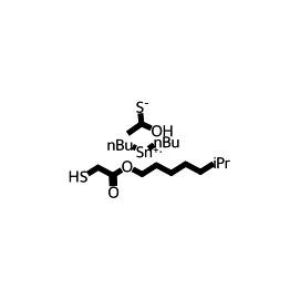 CC(C)CCCCCOC(=O)CS.CC(O)[S-].CCC[CH2][Sn+][CH2]CCC